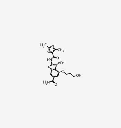 CCCn1c(NC(=O)c2oc(C)nc2C)nc2cc(C(N)=O)cc(OCCCO)c21